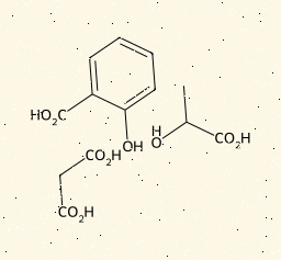 CC(O)C(=O)O.O=C(O)CC(=O)O.O=C(O)c1ccccc1O